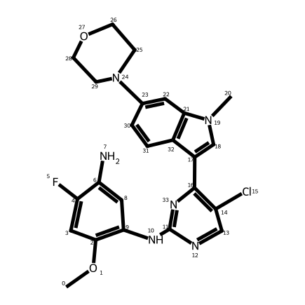 COc1cc(F)c(N)cc1Nc1ncc(Cl)c(-c2cn(C)c3cc(N4CCOCC4)ccc23)n1